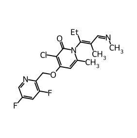 CC/C(=C(C)\C=N/C)n1c(C)cc(OCc2ncc(F)cc2F)c(Cl)c1=O